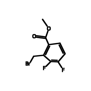 COC(=O)c1ccc(F)c(F)c1CBr